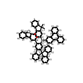 CC1(C)c2ccccc2-c2ccc(N(c3ccc4c5ccccc5c5ccccc5c4c3)c3cc4c(cc3-c3ccc5oc6ccccc6c5c3)-c3ccccc3C43c4ccccc4-c4ccccc43)cc21